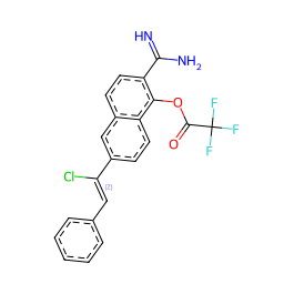 N=C(N)c1ccc2cc(/C(Cl)=C/c3ccccc3)ccc2c1OC(=O)C(F)(F)F